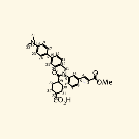 COC(=O)/C=C/c1cccc(N(Cc2ccc(-c3ccc(N(C)C)cc3)cc2)C(=O)C2CCC(C(=O)O)CC2)c1